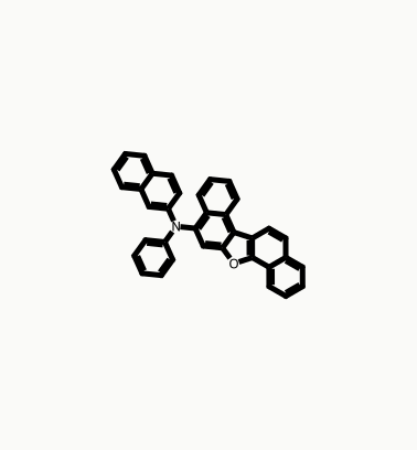 c1ccc(N(c2ccc3ccccc3c2)c2cc3oc4c5ccccc5ccc4c3c3ccccc23)cc1